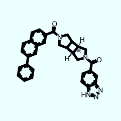 O=C(c1ccc2ccc(-c3ccccc3)cc2c1)N1CC2C(C1)[C@@H]1CN(C(=O)c3ccc4[nH]nnc4c3)C[C@H]21